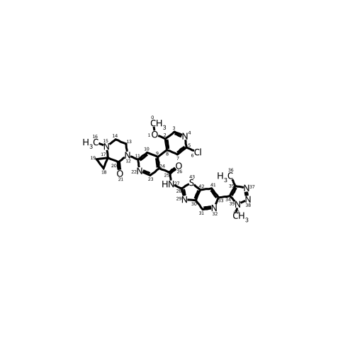 COc1cnc(Cl)cc1-c1cc(N2CCN(C)C3(CC3)C2=O)ncc1C(=O)Nc1nc2cnc(-c3c(C)nnn3C)cc2s1